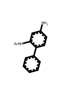 CC(=O)Nc1cc(N)ccc1-c1ccccc1